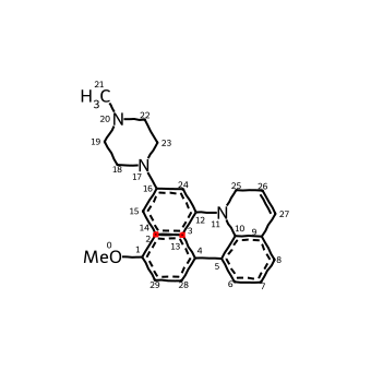 COc1ccc(-c2cccc3c2N(c2cccc(N4CCN(C)CC4)c2)CC=C3)cc1